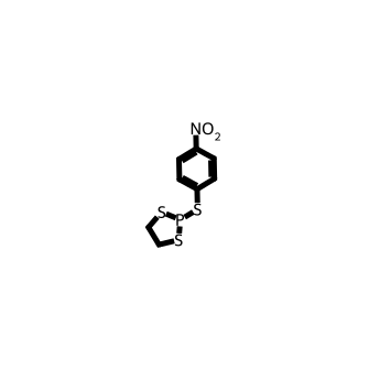 O=[N+]([O-])c1ccc(SP2SCCS2)cc1